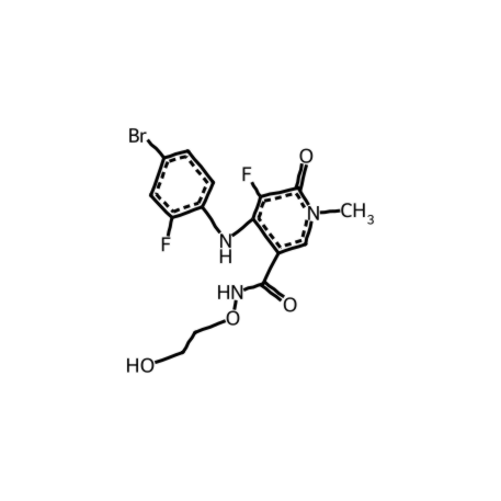 Cn1cc(C(=O)NOCCO)c(Nc2ccc(Br)cc2F)c(F)c1=O